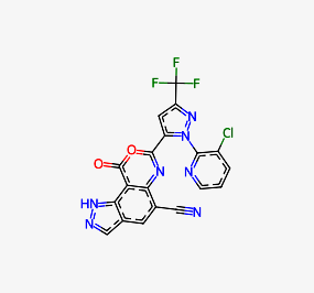 N#Cc1cc2cn[nH]c2c2c(=O)oc(-c3cc(C(F)(F)F)nn3-c3ncccc3Cl)nc12